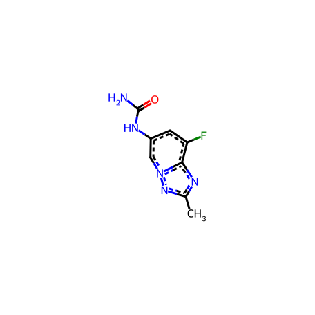 Cc1nc2c(F)cc(NC(N)=O)cn2n1